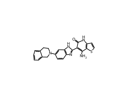 Nc1c(-c2nc3ccc(N4CCc5ccccc5C4)cc3[nH]2)c(=O)[nH]c2ccsc12